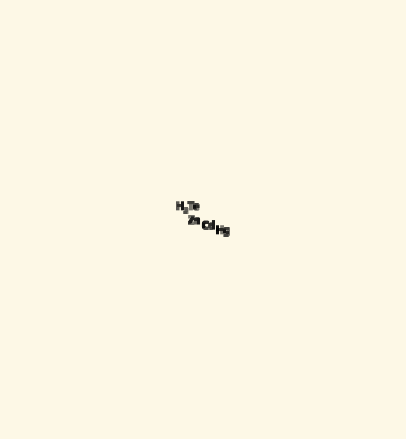 [Cd].[Hg].[TeH2].[Zn]